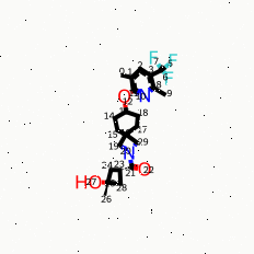 Cc1cc(C(F)(F)F)c(C)nc1OC1CCC2(CC1)CN(C(=O)[C@H]1C[C@@](C)(O)C1)C2